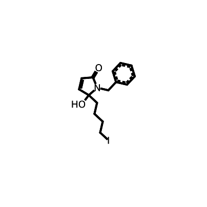 O=C1C=CC(O)(CCCCI)N1Cc1ccccc1